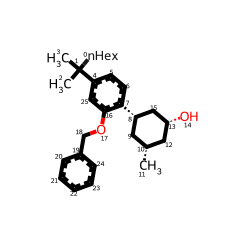 CCCCCCC(C)(C)c1ccc([C@H]2C[C@@H](C)C[C@@H](O)C2)c(OCc2ccccc2)c1